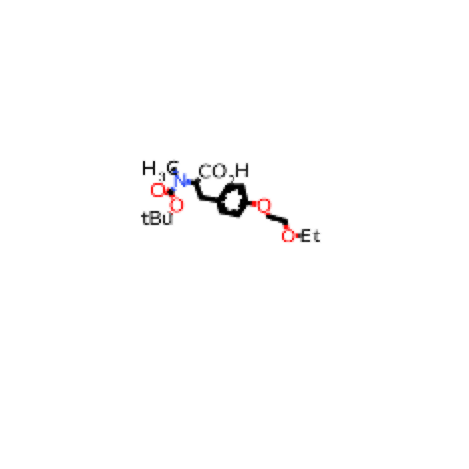 CCOCCOc1ccc(CC(C(=O)O)N(C)C(=O)OC(C)(C)C)cc1